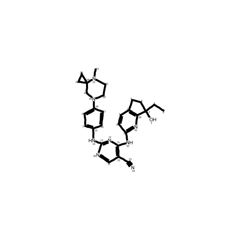 CCC1(O)CCc2ccc(Nc3nc(Nc4ccc(N5CCN(C)C6(CC6)C5)cc4)ncc3C#N)nc21